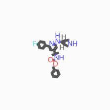 CC(C)(NC(=O)OCc1ccccc1)c1cc(NC2[C@H]3CNC[C@@H]23)nc(-c2ccc(F)cc2)c1